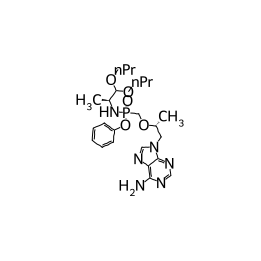 CCCOC(OCCC)[C@H](C)NP(=O)(CO[C@H](C)Cn1cnc2c(N)ncnc21)Oc1ccccc1